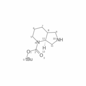 CC(C)(C)OC(=O)N1CCCC2CNC[C@H]21